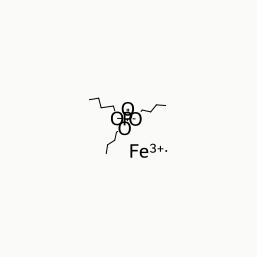 CCCCOP(=O)(OCCCC)OCCCC.[Fe+3]